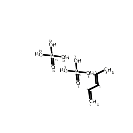 C=CC=CC.O=P(O)(O)O.O=P(O)(O)O